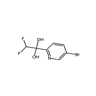 OC(O)(c1ccc(Br)cn1)C(F)F